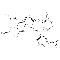 NC(=O)[C@H](CCC(F)(F)F)[C@H](CCC(F)(F)F)C(=O)N[C@H]1CN(c2cccc(C3CC3)c2)c2cccc(Cl)c2NC1=O